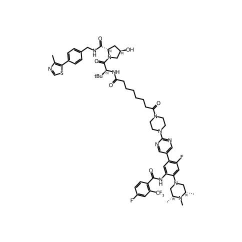 Cc1ncsc1-c1ccc(CNC(=O)[C@@H]2C[C@@H](O)CN2C(=O)[C@@H](NC(=O)CCCCCCC(=O)N2CCN(c3ncc(-c4cc(NC(=O)c5ccc(F)cc5C(F)(F)F)c(N5C[C@@H](C)N(C)[C@@H](C)C5)cc4F)cn3)CC2)C(C)(C)C)cc1